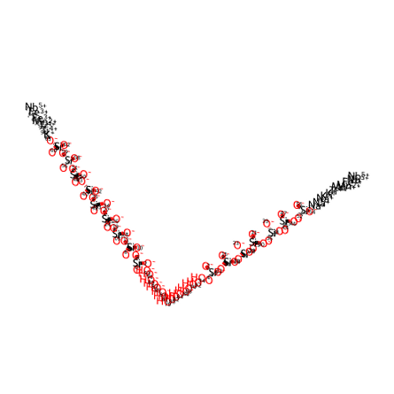 O=[Si]([O-])[O-].O=[Si]([O-])[O-].O=[Si]([O-])[O-].O=[Si]([O-])[O-].O=[Si]([O-])[O-].O=[Si]([O-])[O-].O=[Si]([O-])[O-].O=[Si]([O-])[O-].O=[Si]([O-])[O-].O=[Si]([O-])[O-].O=[Si]([O-])[O-].O=[Si]([O-])[O-].O=[Si]([O-])[O-].O=[Si]([O-])[O-].O=[Si]([O-])[O-].O=[Si]([O-])[O-].[Fe+3].[Fe+3].[Fe+3].[K+].[K+].[K+].[Mn+2].[Mn+2].[Mn+2].[Na+].[Na+].[Na+].[Nb+5].[Nb+5].[Nb+5].[OH-].[OH-].[OH-].[OH-].[OH-].[OH-].[OH-].[OH-].[OH-].[OH-].[OH-].[OH-].[OH-].[OH-].[OH-].[OH-].[Ti+4].[Ti+4].[Ti+4]